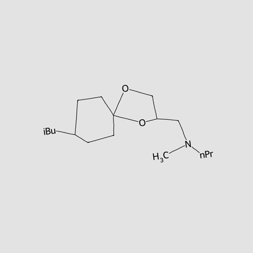 CCCN(C)CC1COC2(CCC(C(C)CC)CC2)O1